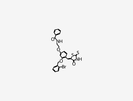 O=C1NC(=S)S/C1=C\c1ccc(OCCNC(=O)c2ccccc2)cc1OCc1ccccc1Br